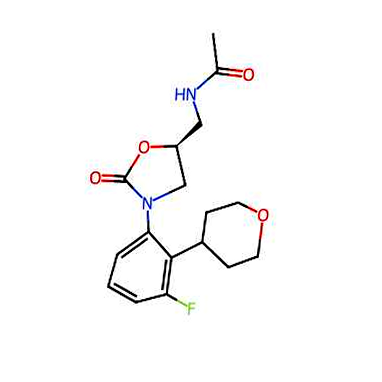 CC(=O)NC[C@H]1CN(c2cccc(F)c2C2CCOCC2)C(=O)O1